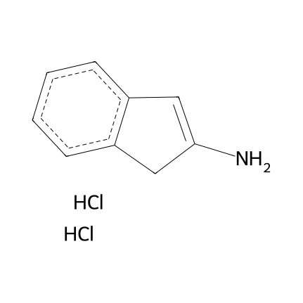 Cl.Cl.NC1=Cc2ccccc2C1